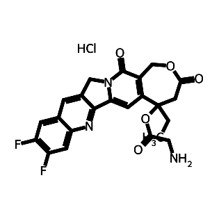 CCC1(OC(=O)CN)CC(=O)OCc2c1cc1n(c2=O)Cc2cc3cc(F)c(F)cc3nc2-1.Cl